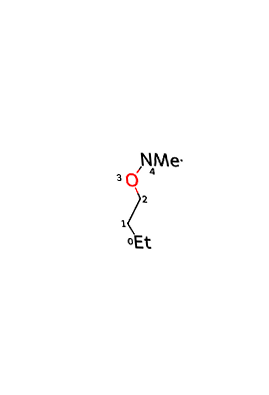 CCCCO[N]C